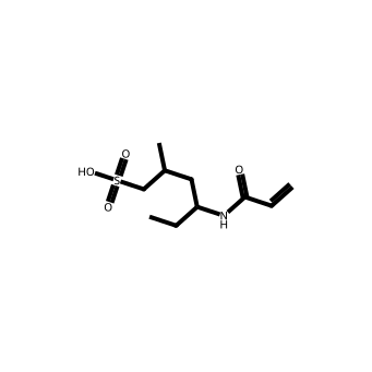 C=CC(=O)NC(CC)CC(C)CS(=O)(=O)O